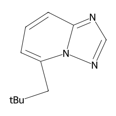 CC(C)(C)Cc1cccc2ncnn12